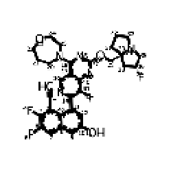 C#Cc1c(F)c(F)cc2cc(O)cc(-c3ncc4c(N5CCCOCC5)nc(OC[C@@]56CCCN5C[C@H](F)C6)nc4c3F)c12